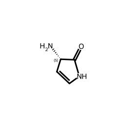 N[C@H]1C=CNC1=O